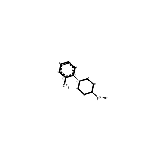 CCCCC[C@H]1CC[C@H](c2ccccc2C(F)(F)F)CC1